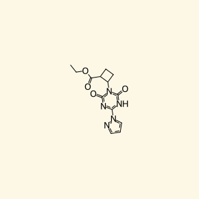 CCOC(=O)C1CCC1n1c(=O)nc(-n2cccn2)[nH]c1=O